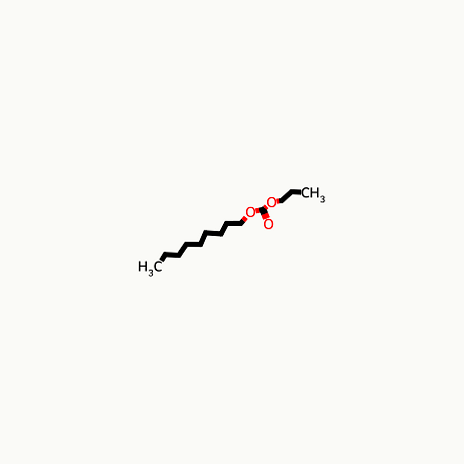 CCCCCCCCCOC(=O)OCCC